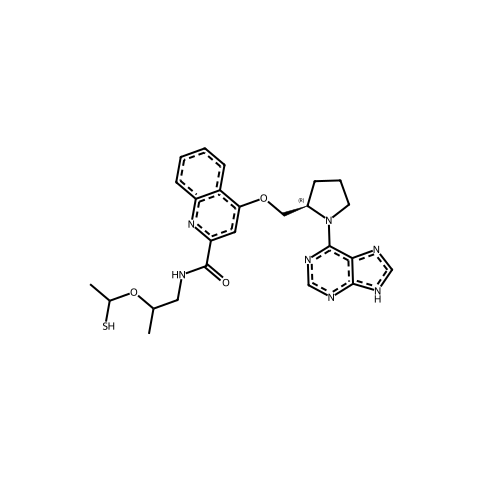 CC(S)OC(C)CNC(=O)c1cc(OC[C@H]2CCCN2c2ncnc3[nH]cnc23)c2ccccc2n1